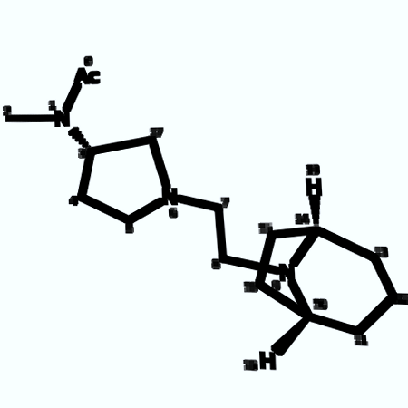 CC(=O)N(C)[C@H]1CCN(CCN2[C@@H]3C[CH]C[C@@H]2CC3)C1